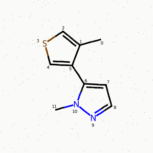 Cc1cscc1-c1ccnn1C